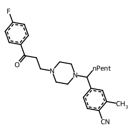 CCCCCC(c1ccc(C#N)c(C)c1)N1CCN(CCC(=O)c2ccc(F)cc2)CC1